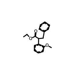 CCOC(=O)C(Cc1ccccc1)c1ccccc1OC